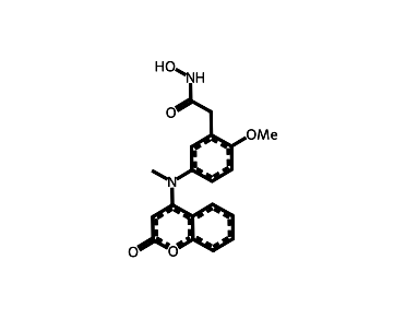 COc1ccc(N(C)c2cc(=O)oc3ccccc23)cc1CC(=O)NO